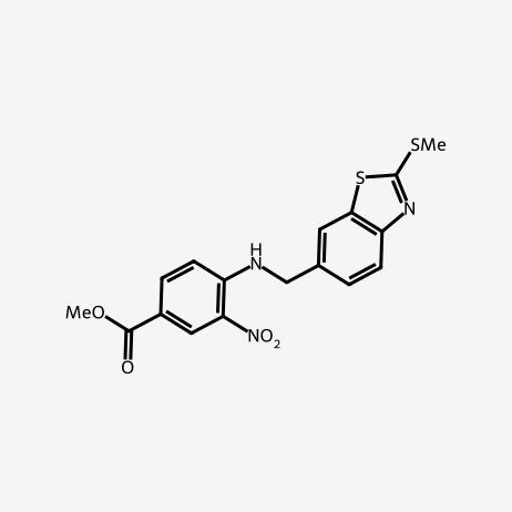 COC(=O)c1ccc(NCc2ccc3nc(SC)sc3c2)c([N+](=O)[O-])c1